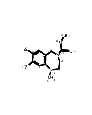 Cc1cc2c(cc1Br)CN(C(=O)OC(C)(C)C)CCN2C